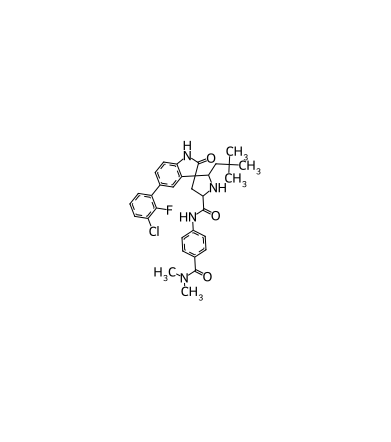 CN(C)C(=O)c1ccc(NC(=O)C2CC3(C(=O)Nc4ccc(-c5cccc(Cl)c5F)cc43)C(CC(C)(C)C)N2)cc1